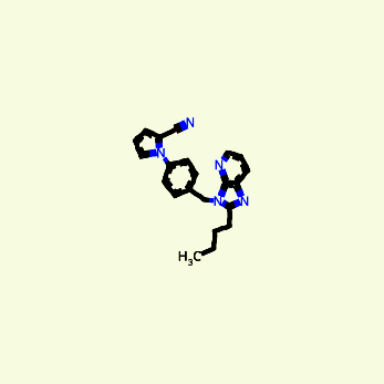 CCCCc1nc2cccnc2n1Cc1ccc(-n2cccc2C#N)cc1